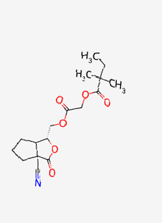 CCC(C)(C)C(=O)OCC(=O)OC[C@@H]1OC(=O)C2(C#N)CCCC12